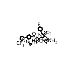 CCOc1c(CC(N)=O)cc([C@@](O)(CNC(=O)c2ccc(-c3cccc(C(F)(F)F)n3)c(OC3CC3)c2)C(F)(F)F)nc1-c1ccc(F)cc1